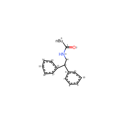 CCCCC(=O)NCC(c1ccccc1)c1ccccc1